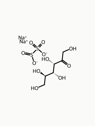 O=C(CO)[C@@H](O)[C@H](O)[C@H](O)CO.O=S([O-])S(=O)(=O)[O-].[Na+].[Na+]